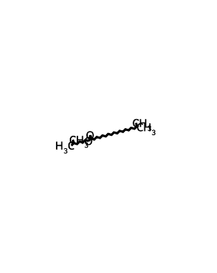 CC(C)CCCCCCCCCCCCCCCC(=O)OCCCCC(C)C